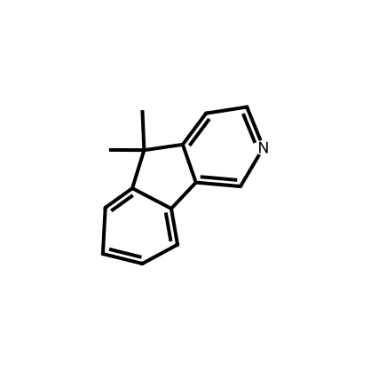 CC1(C)c2ccccc2-c2cnccc21